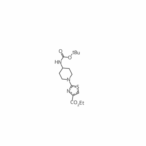 CCOC(=O)c1csc(N2CCC(NC(=O)OC(C)(C)C)CC2)n1